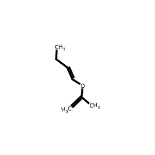 C=C(C)O/C=C/CC